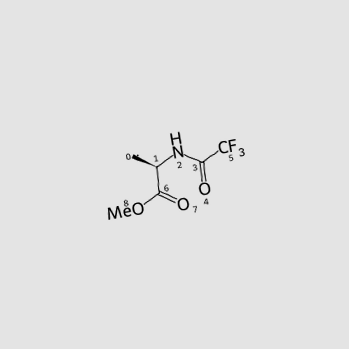 [CH2][C@@H](NC(=O)C(F)(F)F)C(=O)OC